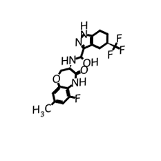 Cc1cc(F)c2c(c1)OC[C@H](NC(O)c1n[nH]c3c1C[C@H](C(F)(F)F)CC3)C(=O)N2